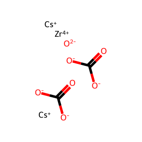 O=C([O-])[O-].O=C([O-])[O-].[Cs+].[Cs+].[O-2].[Zr+4]